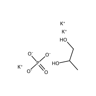 CC(O)CO.O=P([O-])([O-])[O-].[K+].[K+].[K+]